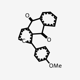 COc1ccc(-c2cccc3c2C(=O)c2ccccc2C3=O)cc1